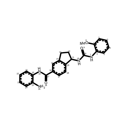 COc1ccccc1NC(=O)NC1CCc2cc(C(=O)Nc3ccccc3N)ccc21